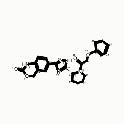 O=C1Nc2ccc(-c3n[nH]c([C@H]4CCCCN4C(=O)COc4ccccc4)n3)cc2CO1